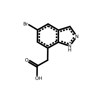 O=C(O)Cc1cc(Br)cc2cn[nH]c12